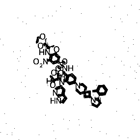 Cc1ccccc1[C@@H]1CCCN1C1CC2(CCN(c3ccc(C(=O)NS(=O)(=O)c4cc5c(c([N+](=O)[O-])c4)N[C@@H]([C@H]4COCCO4)CO5)c(N4c5cc6cc[nH]c6nc5O[C@@H]5COC[C@H]54)c3)CC2)C1